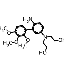 COc1ccc(-c2cc(N(CCO)CCO)ccc2N)c(OC)c1OC